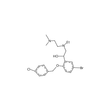 CCN(CCN(C)C)CC(O)c1cc(Br)ccc1OCc1ccc(Cl)cc1